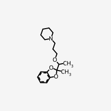 CC(OCCCN1CCCCC1)C1(C)Oc2ccccc2O1